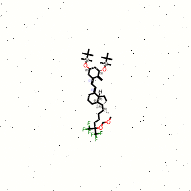 C=C1/C(=C\C=C2/CCC[C@]3(C)[C@@H]([C@H](C)CCCC(OCOC)(C(F)(F)F)C(F)(F)F)CC[C@@H]23)C[C@@H](O[Si](C)(C)C(C)(C)C)C[C@@H]1O[Si](C)(C)C(C)(C)C